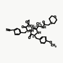 COc1ccc(C[C@H](NC(=O)[C@H](C)NC(=O)CN2CCOCC2)C(=O)N[C@@H](Cc2ccc(C#N)cc2)C(=O)[C@@]2(C)CO2)cc1